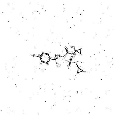 N#CC1(NC(=O)[C@H](CS(=O)(=O)CC2CC2)N[C@@H](c2ccc(F)cc2)C(F)(F)F)CC1